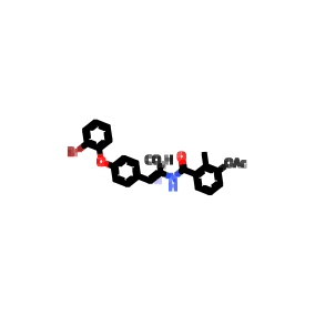 CC(=O)Oc1cccc(C(=O)N/C(=C/c2ccc(Oc3ccccc3Br)cc2)C(=O)O)c1C